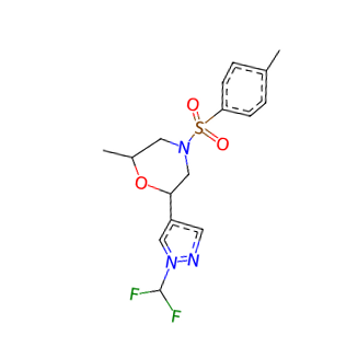 Cc1ccc(S(=O)(=O)N2CC(C)OC(c3cnn(C(F)F)c3)C2)cc1